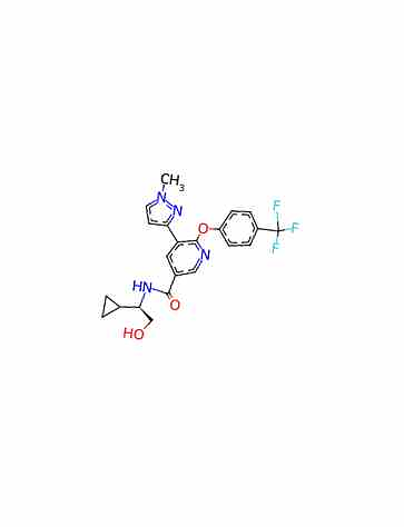 Cn1ccc(-c2cc(C(=O)N[C@@H](CO)C3CC3)cnc2Oc2ccc(C(F)(F)F)cc2)n1